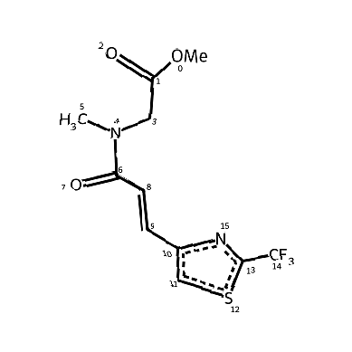 COC(=O)CN(C)C(=O)C=Cc1csc(C(F)(F)F)n1